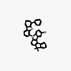 CC1(C)c2ccccc2-c2c1ccc1c2c2cc(Br)ccc2n1-c1cccc2c1oc1c(-c3ccccc3)cccc12